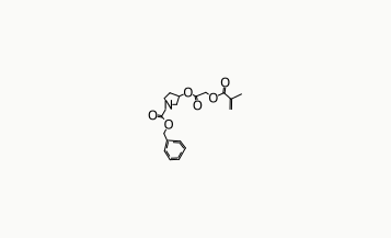 C=C(C)C(=O)OCC(=O)OC1CCN(C(=O)OCc2ccccc2)C1